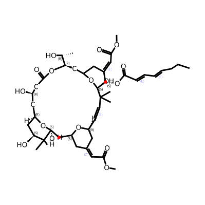 CCC/C=C/C=C/C(=O)O[C@H]1/C(=C/C(=O)OC)CC2C[C@H]([C@@H](C)O)OC(=O)C[C@H](O)C[C@@H]3C[C@H](O)C(C)(C)[C@](O)(C[C@@H]4C/C(=C/C(=O)OC)C[C@H](/C=C/C(C)(C)[C@]1(O)O2)O4)O3